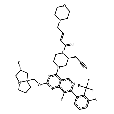 N#CC[C@H]1CN(c2nc(OC[C@@]34CCCN3C[C@H](F)C4)nc3c(F)c(-c4cccc(Cl)c4C(F)(F)F)ncc23)CCN1C(=O)/C=C/CN1CCOCC1